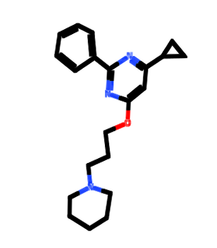 c1ccc(-c2nc(OCCCN3CCCCC3)cc(C3CC3)n2)cc1